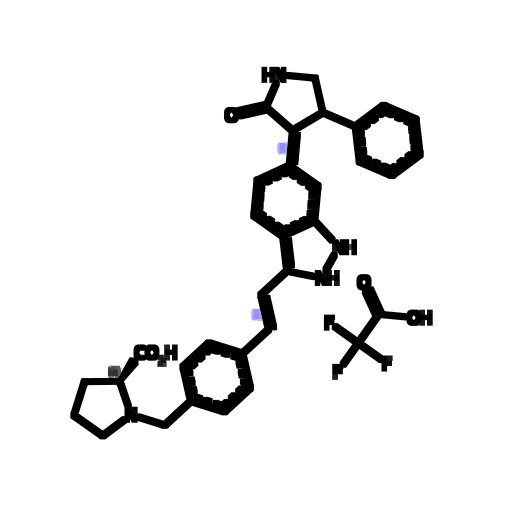 O=C(O)C(F)(F)F.O=C1NCC(c2ccccc2)/C1=c1/ccc2c(c1)NNC=2/C=C/c1ccc(CN2CCC[C@H]2C(=O)O)cc1